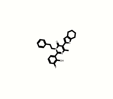 Cc1nc(-c2cccc(F)c2O)n(CCc2ccccc2)c(=O)c1-c1cc2c(s1)CCCC2